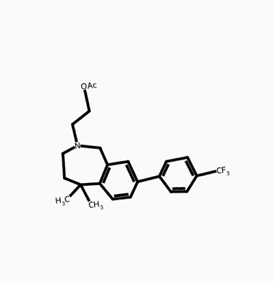 CC(=O)OCCN1CCC(C)(C)c2ccc(-c3ccc(C(F)(F)F)cc3)cc2C1